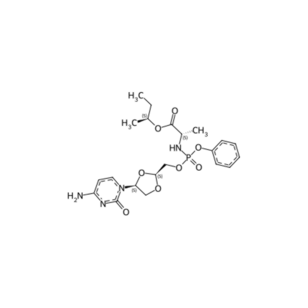 CC[C@H](C)OC(=O)[C@H](C)NP(=O)(OC[C@H]1OC[C@@H](n2ccc(N)nc2=O)O1)Oc1ccccc1